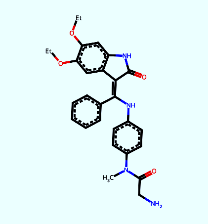 CCOc1cc2c(cc1OCC)/C(=C(/Nc1ccc(N(C)C(=O)CN)cc1)c1ccccc1)C(=O)N2